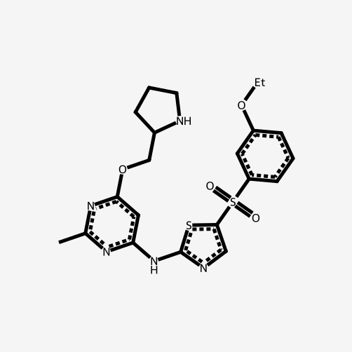 CCOc1cccc(S(=O)(=O)c2cnc(Nc3cc(OCC4CCCN4)nc(C)n3)s2)c1